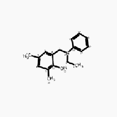 CCN(Cc1cc(C)cc(C)c1O)c1ccccc1